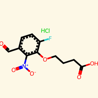 Cl.O=Cc1ccc(F)c(OCCCC(=O)O)c1[N+](=O)[O-]